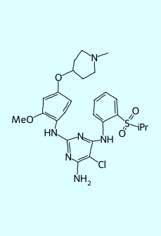 COc1cc(OC2CCN(C)CC2)ccc1Nc1nc(N)c(Cl)c(Nc2ccccc2S(=O)(=O)C(C)C)n1